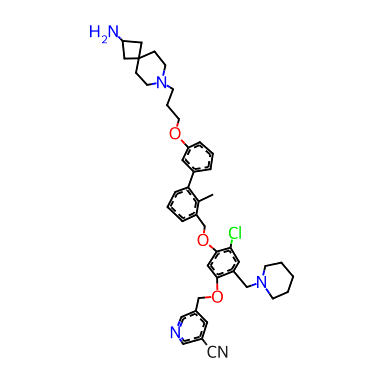 Cc1c(COc2cc(OCc3cncc(C#N)c3)c(CN3CCCCC3)cc2Cl)cccc1-c1cccc(OCCCN2CCC3(CC2)CC(N)C3)c1